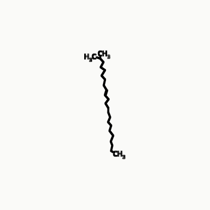 CCCCCCCCCCCCC/C=C/CCCCCCC(C)C